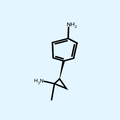 CC1(N)C[C@@H]1c1ccc(N)cc1